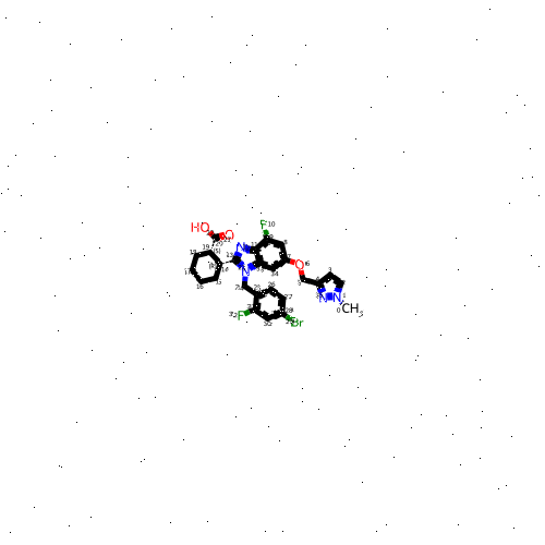 Cn1ccc(COc2cc(F)c3nc([C@@H]4CCCC[C@@H]4C(=O)O)n(Cc4ccc(Br)cc4F)c3c2)n1